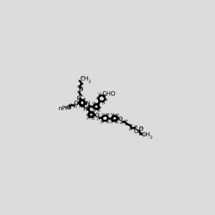 C=CCCOCCOc1cc2nc(-c3cccc(C4CCC(C=O)CC4)c3)c(-c3cccc(OCC4CCC(c5ccc(OCCCCCCOC(=O)C=C)cc5)CC4)c3)nc2cc1OCCOCCC